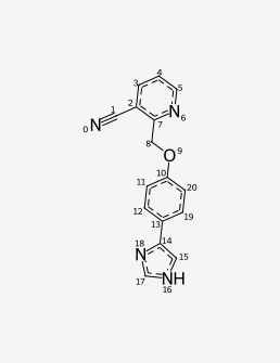 N#Cc1cccnc1COc1ccc(-c2c[nH]cn2)cc1